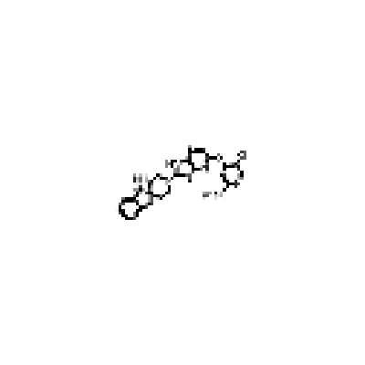 COc1cc(Sc2cnc3[nH]c(N4CCC5(CC4)Cc4ccccc4[C@H]5N)nc3n2)c(Cl)cn1